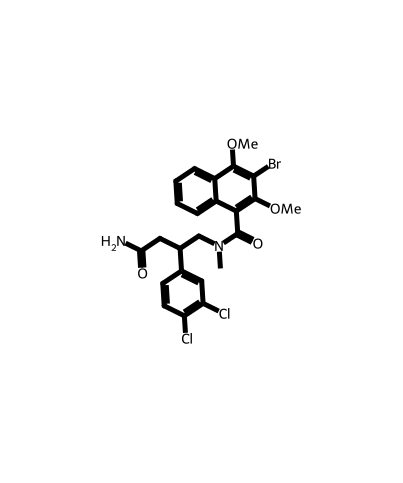 COc1c(Br)c(OC)c2ccccc2c1C(=O)N(C)CC(CC(N)=O)c1ccc(Cl)c(Cl)c1